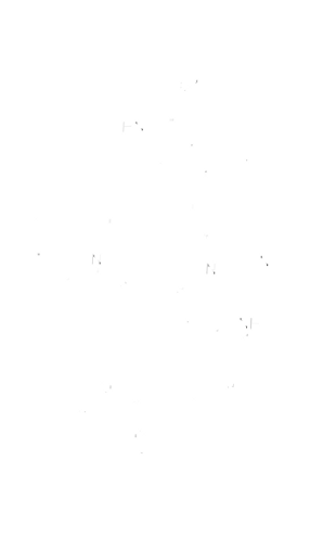 CCNC(=O)C(C)(C)c1ccc2nc(Nc3ccc(C(=O)OC)cc3)n(CCCN3CCCCC3)c2c1